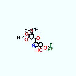 COc1cc(C(=O)c2cncc3c(O)c(OCC(F)(F)F)ccc23)cc(OC)c1OC